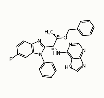 C[C@@H](OCc1ccccc1)[C@H](Nc1ncnc2nc[nH]c12)c1nc2ccc(F)cc2n1-c1ccccc1